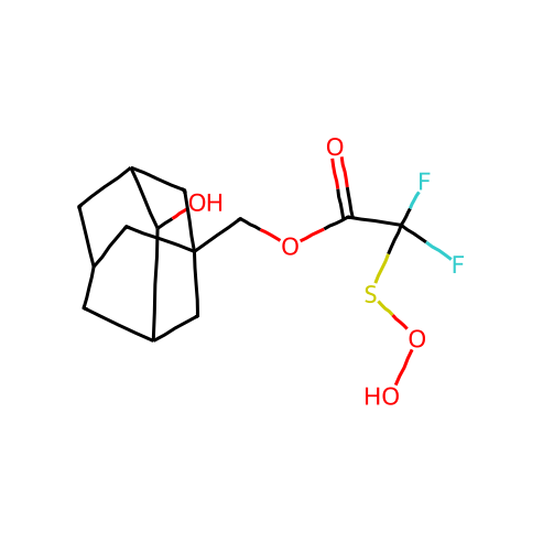 O=C(OCC12CC3CC(C1)C(O)C(C3)C2)C(F)(F)SOO